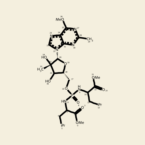 COC(=O)C(CC(C)C)NP(=O)(NC(CC(C)C)C(=O)OC)OC[C@H]1O[C@@H](n2cnc3c(OC)nc(C)nc32)[C@@](C)(O)C1O